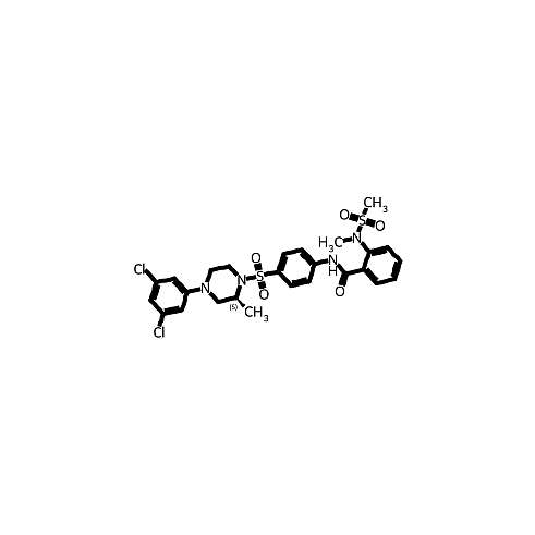 C[C@H]1CN(c2cc(Cl)cc(Cl)c2)CCN1S(=O)(=O)c1ccc(NC(=O)c2ccccc2N(C)S(C)(=O)=O)cc1